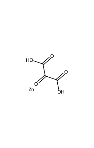 O=C(O)C(=O)C(=O)O.[Zn]